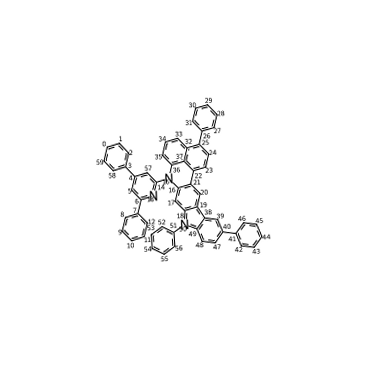 c1ccc(-c2cc(-c3ccccc3)nc(N3c4cc5c(cc4-c4ccc(-c6ccccc6)c6cccc3c46)c3cc(-c4ccccc4)ccc3n5-c3ccccc3)c2)cc1